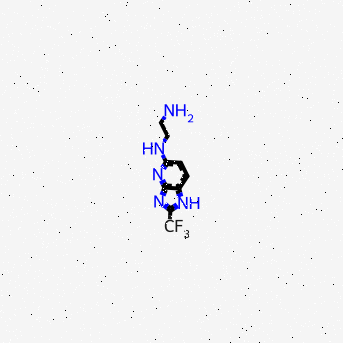 NCCNc1ccc2[nH]c(C(F)(F)F)nc2n1